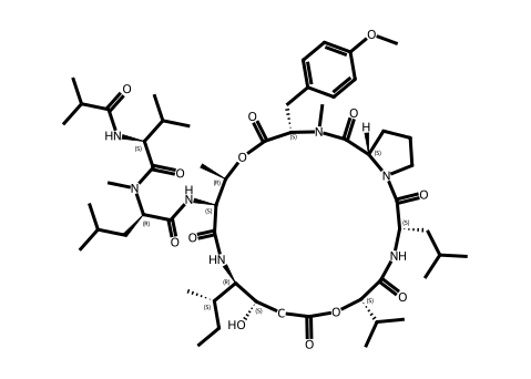 CC[C@H](C)[C@H]1NC(=O)[C@@H](NC(=O)[C@@H](CC(C)C)N(C)C(=O)[C@@H](NC(=O)C(C)C)C(C)C)[C@@H](C)OC(=O)[C@H](Cc2ccc(OC)cc2)N(C)C(=O)[C@@H]2CCCN2C(=O)[C@H](CC(C)C)NC(=O)[C@H](C(C)C)OC(=O)C[C@@H]1O